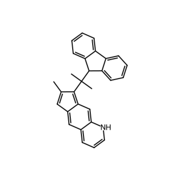 Cc1cc2cc3ccc[nH]c3cc2c1C(C)(C)C1c2ccccc2-c2ccccc21